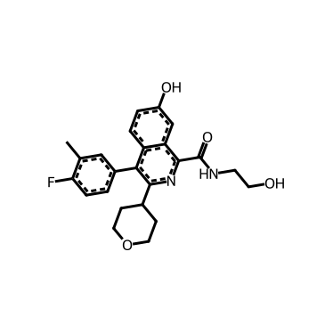 Cc1cc(-c2c(C3CCOCC3)nc(C(=O)NCCO)c3cc(O)ccc23)ccc1F